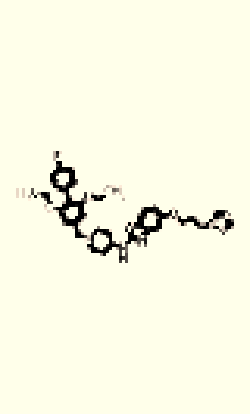 CCOc1cc(CN2CCC(Nc3nc4cc(OCCCn5cncn5)ccc4o3)CC2)cc(OCC)c1-c1ccc(F)cc1